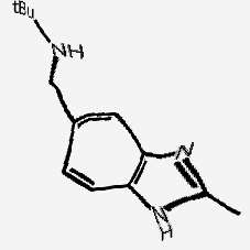 Cc1nc2cc(CNC(C)(C)C)ccc2[nH]1